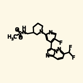 CS(=O)(=O)NCC1CCCN(c2cc(-c3cnc4ccc(C(F)F)nn34)c(F)cn2)C1